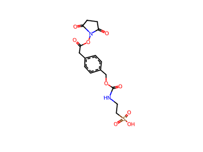 O=C(Cc1ccc(COC(=O)NCCS(=O)(=O)O)cc1)ON1C(=O)CCC1=O